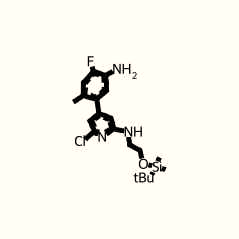 Cc1cc(F)c(N)cc1-c1cc(Cl)nc(NCCO[Si](C)(C)C(C)(C)C)c1